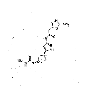 CCCCNC(=O)O[C@@H]1CC[C@H](c2cc(NC(=O)Cc3cnc(C)s3)n[nH]2)C1